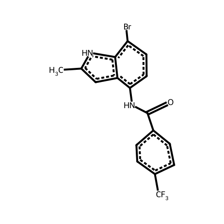 Cc1cc2c(NC(=O)c3ccc(C(F)(F)F)cc3)ccc(Br)c2[nH]1